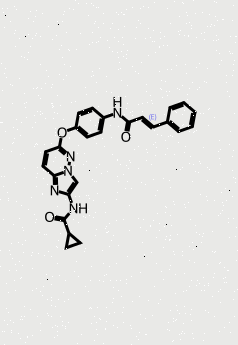 O=C(/C=C/c1ccccc1)Nc1ccc(Oc2ccc3nc(NC(=O)C4CC4)cn3n2)cc1